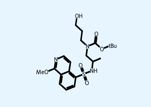 COc1nccc2c(S(=O)(=O)NC(C)CN(CCCO)C(=O)OC(C)(C)C)cccc12